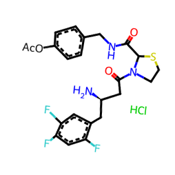 CC(=O)Oc1ccc(CNC(=O)C2SCCN2C(=O)C[C@H](N)Cc2cc(F)c(F)cc2F)cc1.Cl